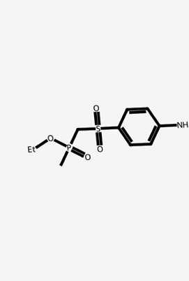 CCOP(C)(=O)CS(=O)(=O)c1ccc(N)cc1